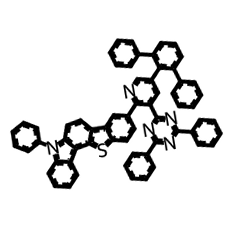 c1ccc(-c2nc(-c3ccccc3)nc(-c3cc(-c4c(-c5ccccc5)cccc4-c4ccccc4)cnc3-c3ccc4sc5c(ccc6c5c5ccccc5n6-c5ccccc5)c4c3)n2)cc1